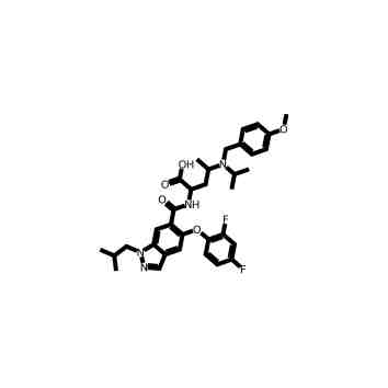 COc1ccc(CN(C(C)C)C(C)CC(NC(=O)c2cc3c(cnn3CC(C)C)cc2Oc2ccc(F)cc2F)C(=O)O)cc1